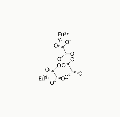 O=C([O-])C(=O)[O-].O=C([O-])C(=O)[O-].O=C([O-])C(=O)[O-].[Eu+3].[Eu+3].[Y].[Y]